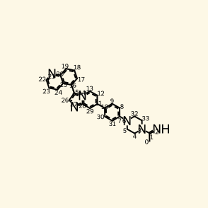 CC(=N)N1CCN(c2ccc(-c3ccn4c(-c5cccc6ncccc56)cnc4c3)cc2)CC1